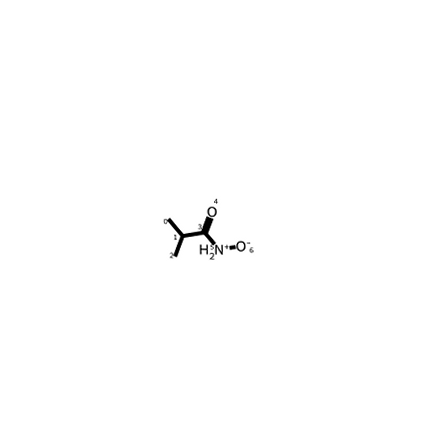 CC(C)C(=O)[NH2+][O-]